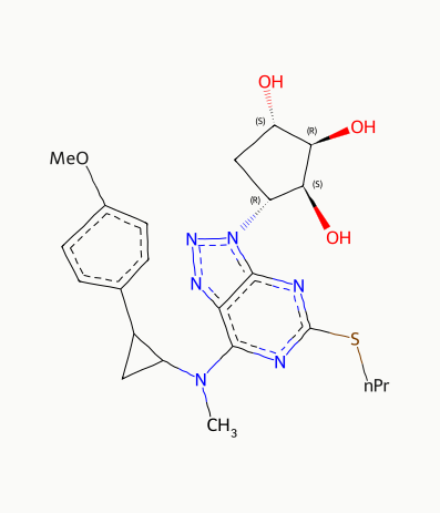 CCCSc1nc(N(C)C2CC2c2ccc(OC)cc2)c2nnn([C@@H]3C[C@H](O)[C@@H](O)[C@H]3O)c2n1